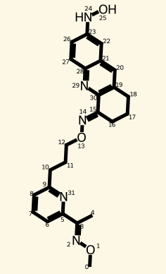 CO/N=C(\C)c1cccc(CCCO/N=C2\CCCc3cc4cc(NO)ccc4nc32)n1